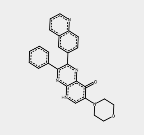 O=c1c(N2CCOCC2)c[nH]c2nc(-c3ccccc3)c(-c3ccc4ncccc4c3)nc12